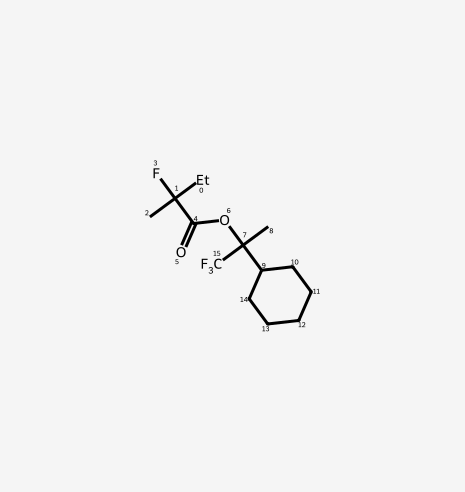 CCC(C)(F)C(=O)OC(C)(C1CCCCC1)C(F)(F)F